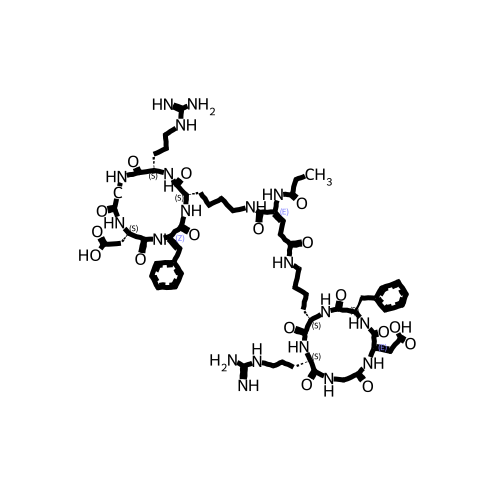 CCC(=O)N/C(=C/CC(=O)NCCCC[C@@H]1NC(=O)[C@@H](Cc2ccccc2)NC(=O)/C(=C\C(=O)O)NC(=O)CNC(=O)[C@H](CCCNC(=N)N)NC1=O)C(=O)NCCCC[C@@H]1NC(=O)/C(=C/c2ccccc2)NC(=O)[C@H](CC(=O)O)NC(=O)CNC(=O)[C@H](CCCNC(=N)N)NC1=O